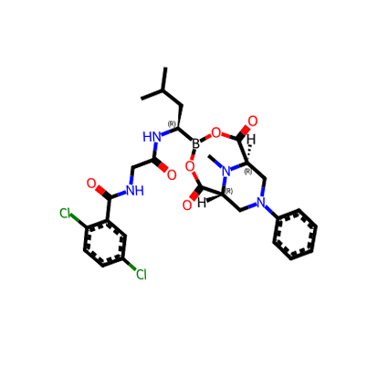 CC(C)C[C@H](NC(=O)CNC(=O)c1cc(Cl)ccc1Cl)B1OC(=O)[C@H]2CN(c3ccccc3)C[C@H](C(=O)O1)N2C